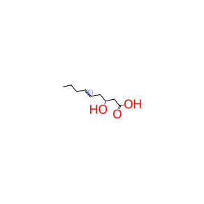 CCC/C=C/CC(O)CC(=O)O